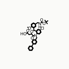 COc1ccc(CNC(=O)OC(C)(C)C)cc1C1OC(CC(=O)O)C(=O)N(Cc2ccc(-c3ccccc3)cc2)c2ccc(Cl)cc21